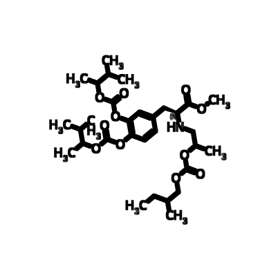 CCC(C)COC(=O)OC(C)CN[C@@H](Cc1ccc(OC(=O)OC(C)C(C)C)c(OC(=O)OC(C)C(C)C)c1)C(=O)OC